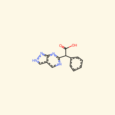 O=C(O)C(c1ccccc1)c1ncc2c[nH]nc2n1